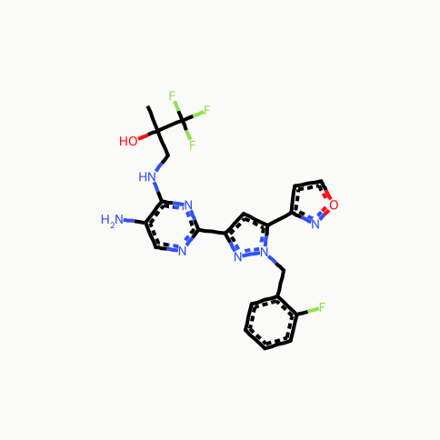 CC(O)(CNc1nc(-c2cc(-c3ccon3)n(Cc3ccccc3F)n2)ncc1N)C(F)(F)F